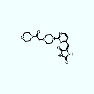 O=C1NC(=O)/C(=C\c2ccnc(N3CCN(CC(=O)N4CCOCC4)CC3)n2)N1